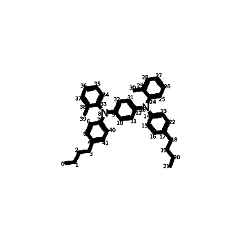 CCCCc1ccc(N(c2ccc(N(c3ccc(CCCC)cc3)c3ccccc3C)cc2)c2ccccc2C)cc1